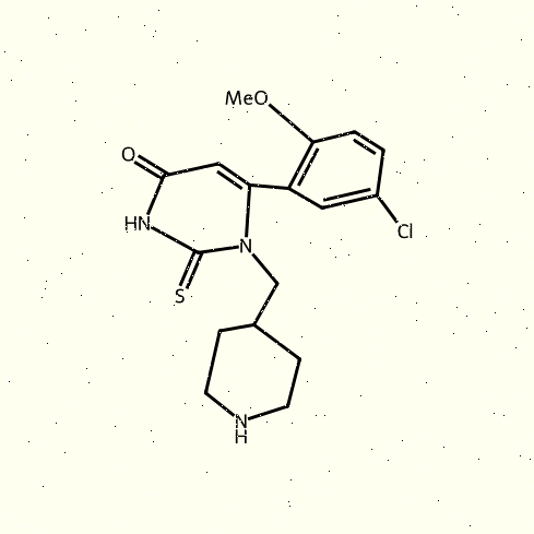 COc1ccc(Cl)cc1-c1cc(=O)[nH]c(=S)n1CC1CCNCC1